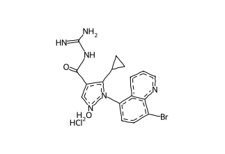 Cl.N=C(N)NC(=O)c1cnn(-c2ccc(Br)c3ncccc23)c1C1CC1.O